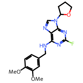 COc1ccc(CNc2nc(F)nc3c2ncn3C2CCCO2)cc1OC